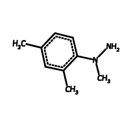 Cc1ccc(N(C)N)c(C)c1